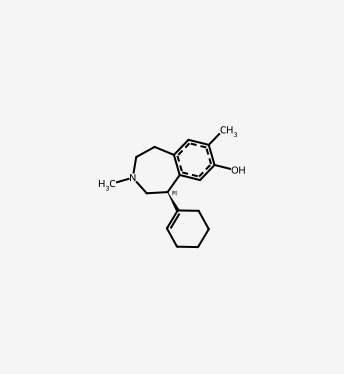 Cc1cc2c(cc1O)[C@@H](C1=CCCCC1)CN(C)CC2